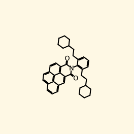 O=C1c2ccc3ccc4cccc5cc(c2c3c45)C(=O)N1c1c(CCC2CCCCC2)cccc1CCC1CCCCC1